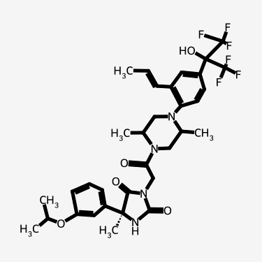 CC=Cc1cc(C(O)(C(F)(F)F)C(F)(F)F)ccc1N1CC(C)N(C(=O)CN2C(=O)N[C@@](C)(c3cccc(OC(C)C)c3)C2=O)CC1C